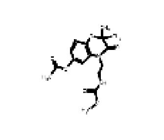 COC(=O)NCCN1C(=O)C(C)(C)Oc2ccc(OC(C)=O)cc21